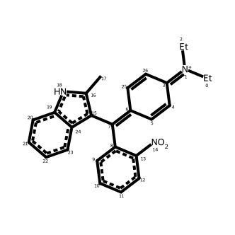 CC[N+](CC)=C1C=CC(=C(c2ccccc2[N+](=O)[O-])c2c(C)[nH]c3ccccc23)C=C1